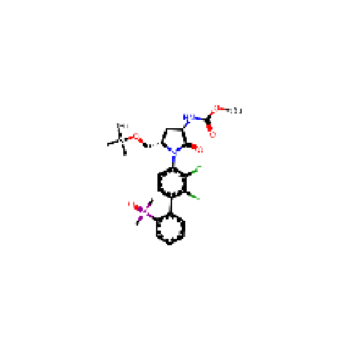 CC(C)(C)OC(=O)N[C@@H]1C[C@@H](CO[Si](C)(C)C(C)(C)C)N(c2ccc(-c3ccccc3P(C)(C)=O)c(F)c2F)C1=O